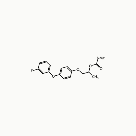 CNC(=O)OC(C)COc1ccc(Oc2cccc(F)c2)cc1